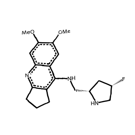 COc1cc2nc3c(c(NC[C@@H]4C[C@H](F)CN4)c2cc1OC)CCC3